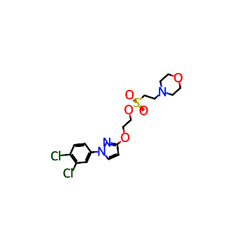 O=S(=O)(CCN1CCOCC1)OCCOc1ccn(-c2ccc(Cl)c(Cl)c2)n1